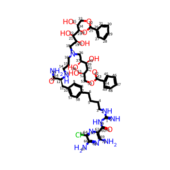 N=C(NCCCCc1ccc(C[C@H](NCCCN(C[C@H](O)[C@@H](O)[C@@H]2OC(c3ccccc3)OC[C@H]2O)C[C@H](O)[C@@H](O)[C@@H]2OC(c3ccccc3)OC[C@H]2O)C(N)=O)cc1)NC(=O)c1nc(Cl)c(N)nc1N